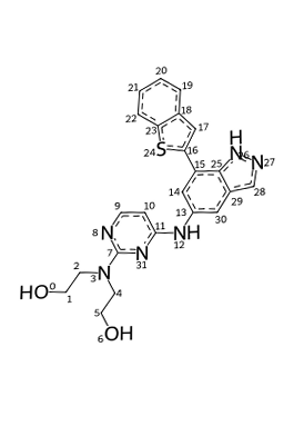 OCCN(CCO)c1nccc(Nc2cc(-c3cc4ccccc4s3)c3[nH]ncc3c2)n1